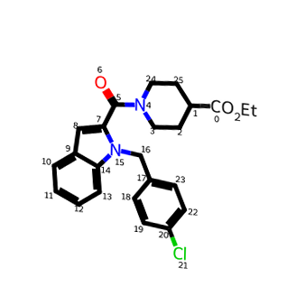 CCOC(=O)C1CCN(C(=O)c2cc3ccccc3n2Cc2ccc(Cl)cc2)CC1